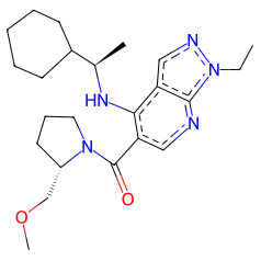 CCn1ncc2c(N[C@H](C)C3CCCCC3)c(C(=O)N3CCC[C@H]3COC)cnc21